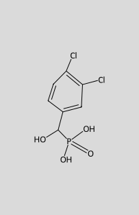 O=P(O)(O)C(O)c1ccc(Cl)c(Cl)c1